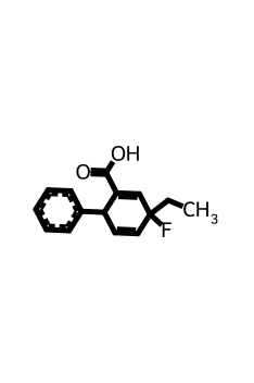 CCC1(F)C=CC(c2ccccc2)C(C(=O)O)=C1